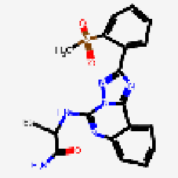 CCC(Nc1nc2ccccc2c2nc(-c3ccccc3S(C)(=O)=O)nn12)C(N)=O